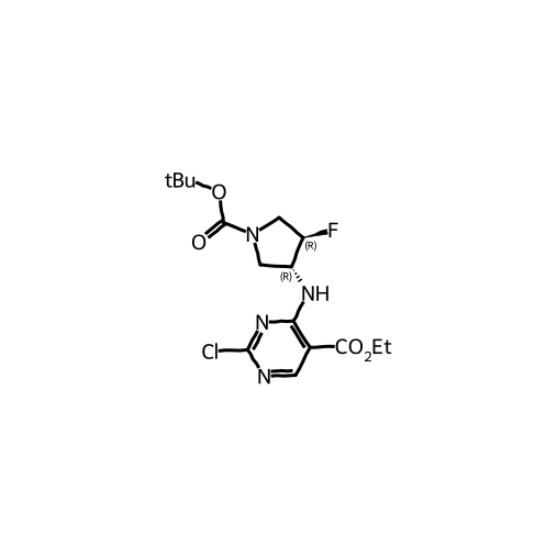 CCOC(=O)c1cnc(Cl)nc1N[C@@H]1CN(C(=O)OC(C)(C)C)C[C@H]1F